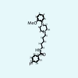 COc1ccccc1N1CCN(CCCCCNC(=O)c2ccc(F)cc2)CC1